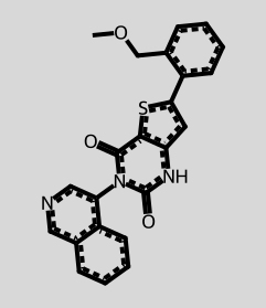 COCc1ccccc1-c1cc2[nH]c(=O)n(-c3cncc4ccccc34)c(=O)c2s1